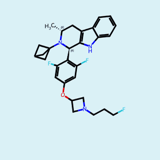 C[C@@H]1Cc2c([nH]c3ccccc23)[C@@H](c2c(F)cc(OC3CN(CCCF)C3)cc2F)N1C12CC(C1)C2